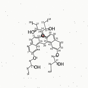 OC(CI)COc1ccc2ccc(OCC(O)CI)c(Cc3c(OCC(O)CI)ccc4ccc(OCC(O)CI)cc34)c2c1